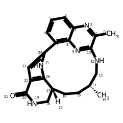 Cc1nc2cccc3c2nc1NC[C@H](C)CC[C@@H]1CNC(=O)c2cc-3[nH]c21